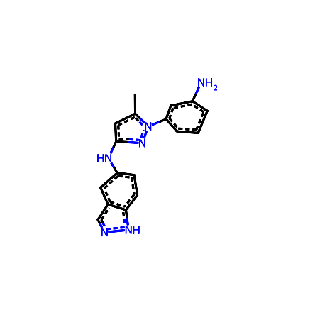 Cc1cc(Nc2ccc3[nH]ncc3c2)nn1-c1cccc(N)c1